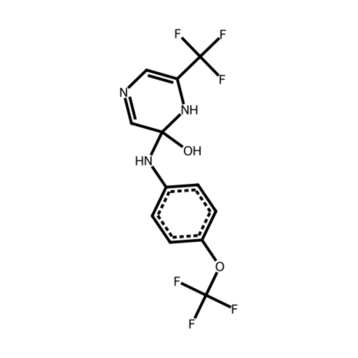 OC1(Nc2ccc(OC(F)(F)F)cc2)C=NC=C(C(F)(F)F)N1